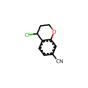 N#Cc1ccc2c(c1)OCCC2Cl